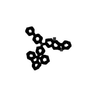 C1=C[C@H]2C=c3c(oc4ccccc34)=CC2C=C1N(c1ccc(-c2ccccc2)cc1)c1ccc(C2(c3ccccc3)c3ccccc3-c3ccccc32)cc1